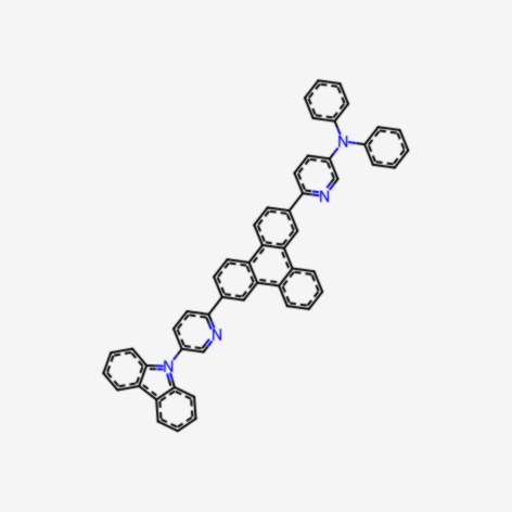 c1ccc(N(c2ccccc2)c2ccc(-c3ccc4c5ccc(-c6ccc(-n7c8ccccc8c8ccccc87)cn6)cc5c5ccccc5c4c3)nc2)cc1